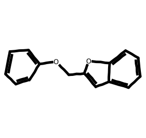 [c]1ccccc1OCc1cc2ccccc2o1